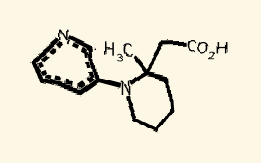 CC1(CC(=O)O)CCCCN1c1[c]nccc1